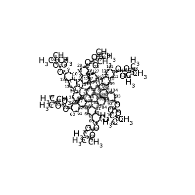 CC(C)(C)OC(=O)Oc1ccc2cc(C3(c4ccc5cc(OC(=O)OC(C)(C)C)ccc5c4)c4ccccc4-c4c3c3c(c5c4C(c4ccc6cc(OC(=O)OC(C)(C)C)ccc6c4)(c4ccc6cc(OC(=O)OC(C)(C)C)ccc6c4)c4ccccc4-5)C(c4ccc5cc(OC(=O)OC(C)(C)C)ccc5c4)(c4ccc5cc(OC(=O)OC(C)(C)C)ccc5c4)c4ccccc4-3)ccc2c1